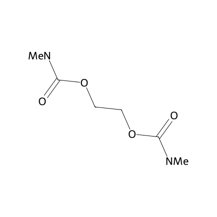 CNC(=O)OCCOC(=O)NC